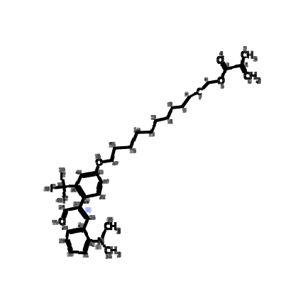 C=C(C)C(=O)OCCCCCCCCCCCCOc1ccc(/C(C=O)=C/c2ccccc2N(C)C)c(C(F)(F)F)c1